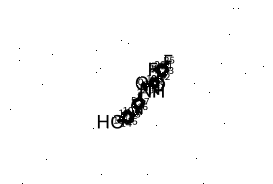 O=C(NCC1CCN(Cc2ccc(O)cc2)CC1)c1cc(-c2ccc(F)cc2F)on1